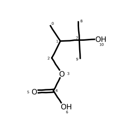 CC(COC(=O)O)C(C)(C)O